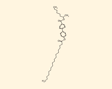 CCCCCCCCCCCCCCCCCCC(=O)Oc1ccc(-c2ccc(C(=O)OC(C)CCCCCC)cc2)cc1